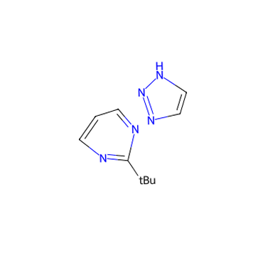 CC(C)(C)c1ncccn1.c1c[nH]nn1